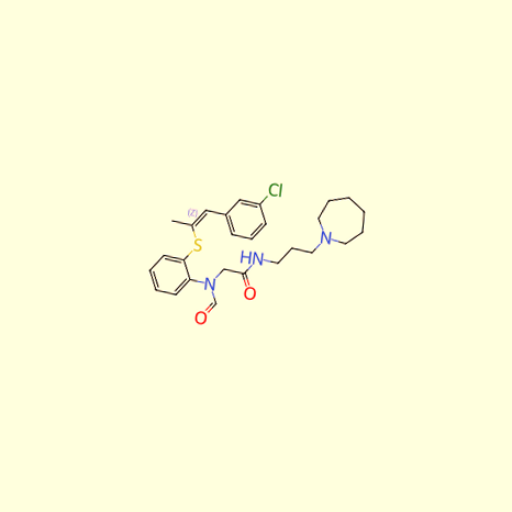 C/C(=C/c1cccc(Cl)c1)Sc1ccccc1N(C=O)CC(=O)NCCCN1CCCCCC1